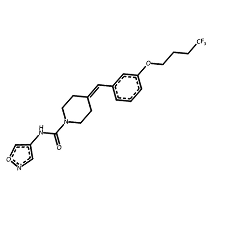 O=C(Nc1cnoc1)N1CCC(=Cc2cccc(OCCCC(F)(F)F)c2)CC1